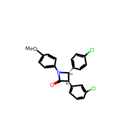 COc1ccc(N2C(=O)[C@H](c3cccc(Cl)c3)[C@H]2c2ccc(Cl)cc2)cc1